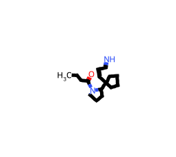 CCCC(=O)N1CCCC1C1(/C=C\C=N)CCCC1